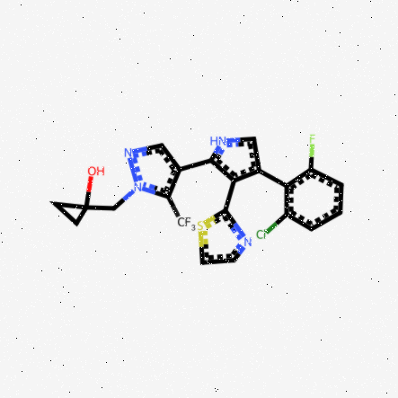 OC1(Cn2ncc(-c3[nH]cc(-c4c(F)cccc4Cl)c3-c3nccs3)c2C(F)(F)F)CC1